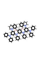 c1ccc(N(c2ccccc2)c2cc3c4c(c2)N(c2ccccc2)c2cc5c(cc2B4c2cccc4c2N3CCC4)B2c3cccc4c3N(CCC4)c3cc(N(c4ccccc4)c4ccccc4)cc(c32)N5c2ccccc2)cc1